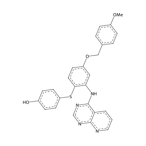 COc1ccc(COc2ccc(Sc3ccc(O)cc3)c(Nc3ncnc4ncccc34)c2)cc1